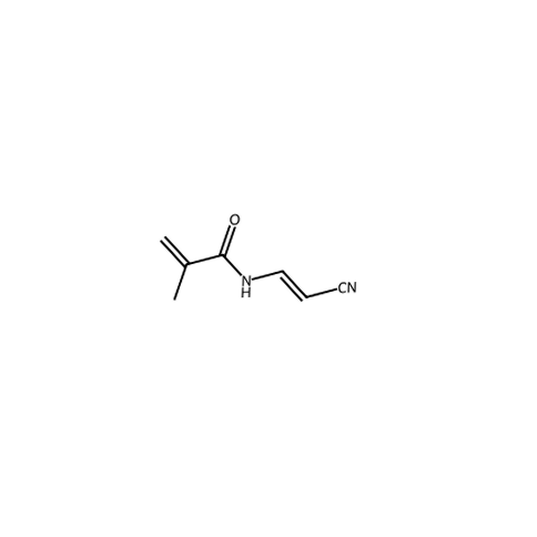 C=C(C)C(=O)NC=CC#N